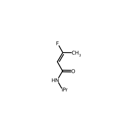 C/C(F)=C\C(=O)NC(C)C